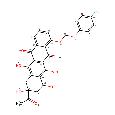 CC(=O)C1(O)Cc2c(O)c3c(c(O)c2C(O)C1)C(=O)c1c(OCOc2ccc(Cl)cc2)cccc1C3=O